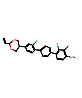 C=CC1OCC(c2ccc(-c3ccc(-c4ccc(CCCCCCC)c(F)c4F)cc3)c(F)c2)CO1